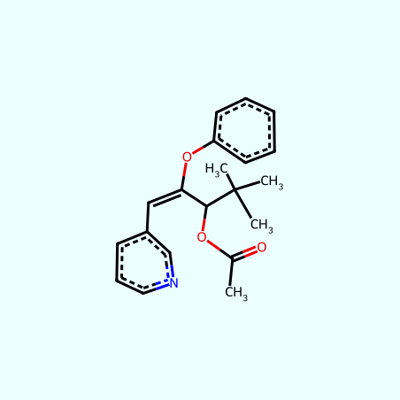 CC(=O)OC(/C(=C\c1cccnc1)Oc1ccccc1)C(C)(C)C